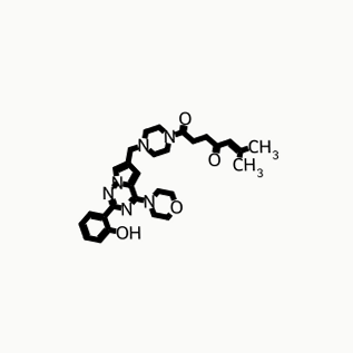 CC(C)=CC(=O)CCC(=O)N1CCN(Cc2cc3c(N4CCOCC4)nc(-c4ccccc4O)nn3c2)CC1